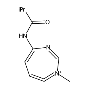 CC(C)C(=O)NC1=CC=C=[N+](C)C=N1